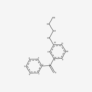 C=C(c1ccccc1)c1cccc(CCCC)c1